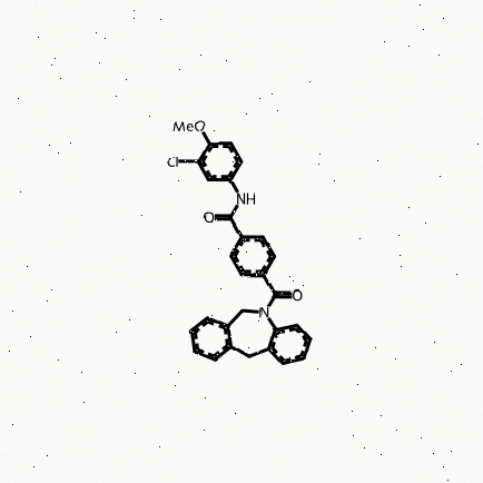 COc1ccc(NC(=O)c2ccc(C(=O)N3Cc4ccccc4Cc4ccccc43)cc2)cc1Cl